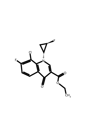 CCOC(=O)c1cn([C@@H]2C[C@H]2F)c2c(Cl)c(F)ccc2c1=O